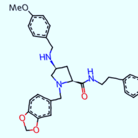 COc1ccc(CN[C@H]2C[C@@H](C(=O)NCCc3ccccc3)N(Cc3ccc4c(c3)OCO4)C2)cc1